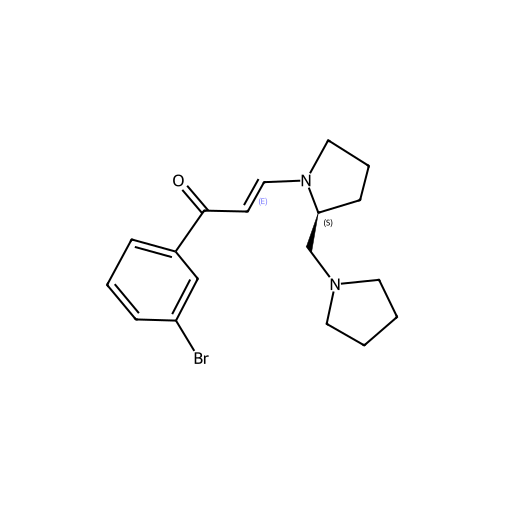 O=C(/C=C/N1CCC[C@H]1CN1CCCC1)c1cccc(Br)c1